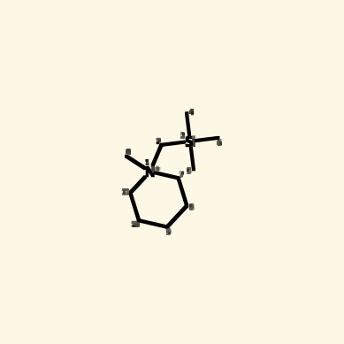 C[N+]1(C[Si](C)(C)C)CCCCC1